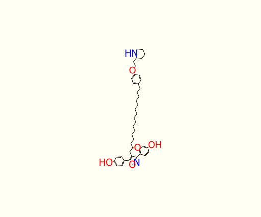 O=C(CCCCCCCCCCCCCCc1ccc(OCCC2CCCCN2)cc1)Cc1c(-c2ccc(O)cc2)noc1-c1ccc(O)cc1